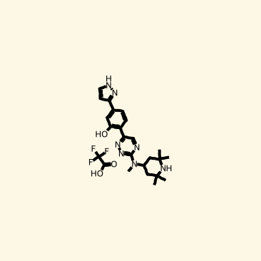 CN(c1ncc(-c2ccc(-c3cc[nH]n3)cc2O)nn1)C1CC(C)(C)NC(C)(C)C1.O=C(O)C(F)(F)F